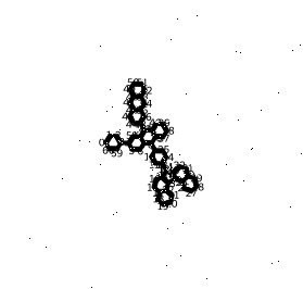 c1ccc(-c2ccc3c(-c4ccc(-n5c6ccc7ccccc7c6c6c7ccccc7ccc65)cc4)c4ccccc4c(-c4ccc5cc6ccccc6cc5c4)c3c2)cc1